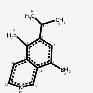 Bc1cc(C(C)C)c(B)c2ccncc12